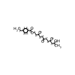 C=Cc1ccc(C(=O)OCCC(=O)CCC(=O)CCC(=O)CC(C)O)cc1